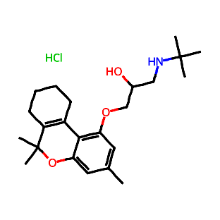 Cc1cc(OCC(O)CNC(C)(C)C)c2c(c1)OC(C)(C)C1=C2CCCC1.Cl